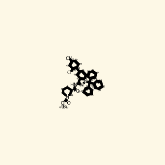 CC(C)(C)OC(=O)N1CCC[C@@H](C(=O)Nc2nn(C(c3ccccc3)(c3ccccc3)c3ccccc3)c3ccc(-c4ccc(Cl)cc4Cl)cc23)C1